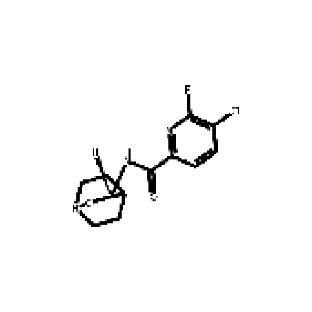 O=C(N[C@H]1CN2CCC1CC2)c1ccc(Cl)c(F)n1